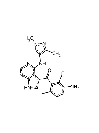 Cc1nn(C)cc1Nc1ncnc2[nH]cc(C(=O)c3c(F)ccc(N)c3F)c12